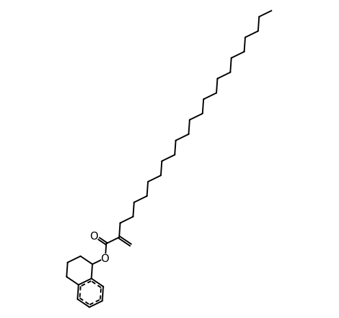 C=C(CCCCCCCCCCCCCCCCCCCCCC)C(=O)OC1CCCc2ccccc21